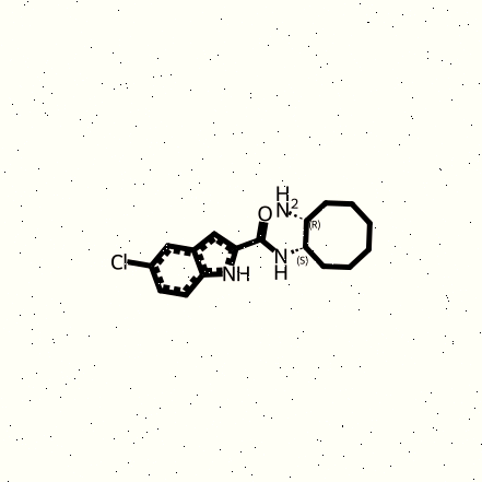 N[C@@H]1CCCCCC[C@@H]1NC(=O)c1cc2cc(Cl)ccc2[nH]1